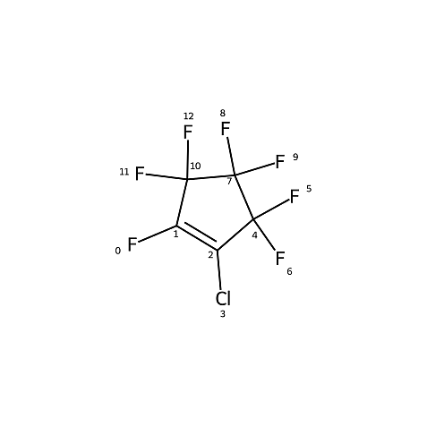 FC1=C(Cl)C(F)(F)C(F)(F)C1(F)F